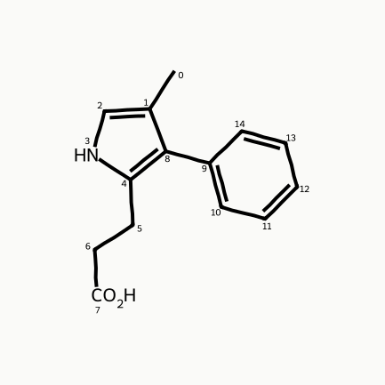 Cc1c[nH]c(CCC(=O)O)c1-c1ccccc1